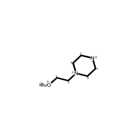 CC(C)COCCN1CC[N]CC1